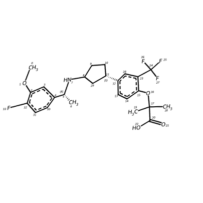 COc1cc([C@@H](C)NC2CC[C@H](c3ccc(OC(C)(C)C(=O)O)c(C(F)(F)F)c3)C2)ccc1F